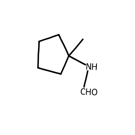 CC1(NC=O)CCCC1